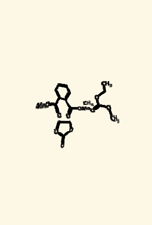 C.CCOC(=O)OC.COC(=O)c1ccccc1C(=O)OC.O=C1OCCO1